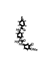 COc1ccc(NC(=O)N(S)c2ccc(NC(=O)c3ccc(F)cc3)cc2)cc1Cl